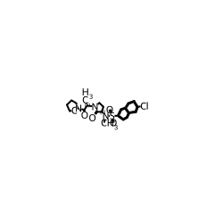 C[C@@H](C(=O)N1CCCCC1)N1CC[C@@H](N(C)S(=O)(=O)c2ccc3cc(Cl)ccc3c2)C1=O